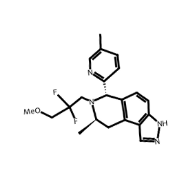 COCC(F)(F)CN1[C@H](c2ccc(C)cn2)c2ccc3[nH]ncc3c2C[C@H]1C